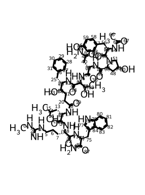 CNC(=N)NCCC[C@H](NC(=O)[C@H](CC(C)C)NC(=O)CC[C@H](O)[C@H](Cc1ccccc1)NC(=O)[C@@H](NC(=O)[C@H](CC(N)=O)NC(=O)[C@@H]1C[C@@H](O)CN1C(=O)[C@@H](Cc1ccc(O)cc1)NC(C)=O)[C@@H](C)O)C(=O)N[C@@H](Cc1c[nH]c2ccccc12)C(N)=O